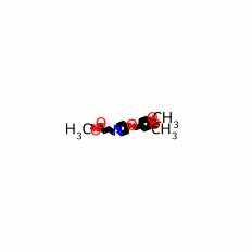 CCOC(=O)CCCN1CCC(OCC2=CCC(OC)(OC)C=C2)CC1